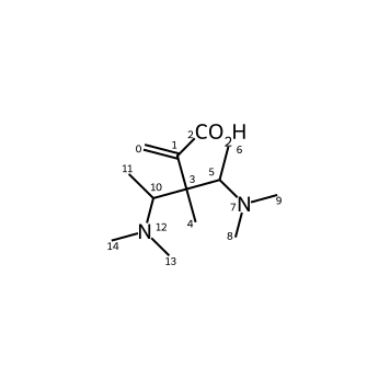 C=C(C(=O)O)C(C)(C(C)N(C)C)C(C)N(C)C